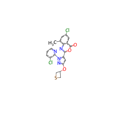 Cc1cc(Cl)cc2c(=O)oc(-c3cc(OC4CSC4)nn3-c3ncccc3Cl)nc12